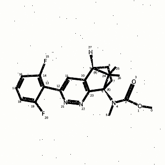 COC(=O)N(C)[C@@]12CC[C@@H](c3cc(-c4c(F)cccc4F)nnc31)C2(C)C